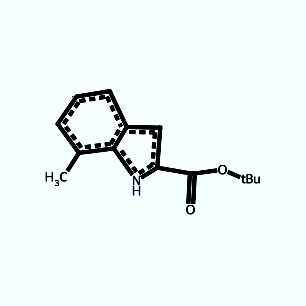 Cc1c[c]cc2cc(C(=O)OC(C)(C)C)[nH]c12